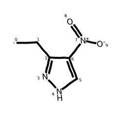 [CH2]Cc1n[nH]cc1[N+](=O)[O-]